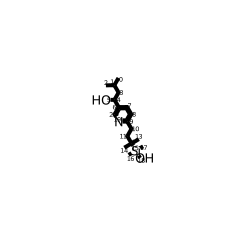 CC(C)CC(O)c1ccc(CCC(C)(C)[Si](C)(C)O)nc1